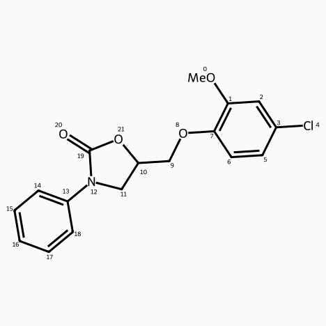 COc1cc(Cl)ccc1OCC1CN(c2ccccc2)C(=O)O1